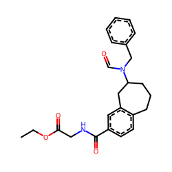 CCOC(=O)CNC(=O)c1ccc2c(c1)CC(N(C=O)Cc1ccccc1)CCC2